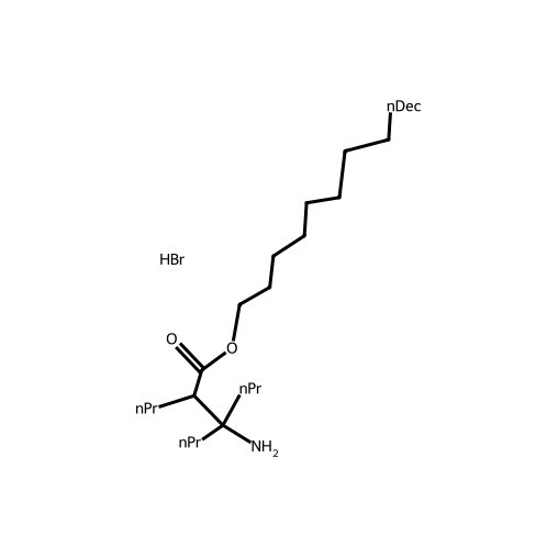 Br.CCCCCCCCCCCCCCCCCCOC(=O)C(CCC)C(N)(CCC)CCC